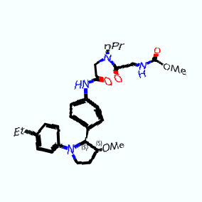 CCCN(CC(=O)Nc1ccc([C@H]2[C@@H](OC)CCN2c2ccc(CC)cc2)cc1)C(=O)CNC(=O)OC